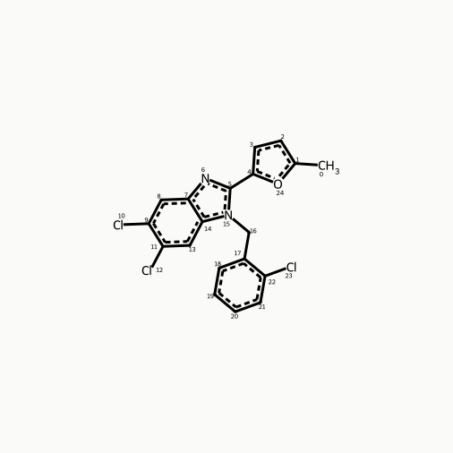 Cc1ccc(-c2nc3cc(Cl)c(Cl)cc3n2Cc2ccccc2Cl)o1